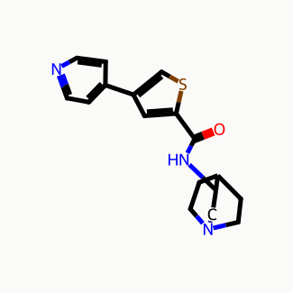 O=C(NC1CN2CCC1CC2)c1cc(-c2ccncc2)cs1